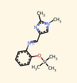 Cc1nc(/C=N/c2ccccc2O[Si](C)(C)C)cn1C